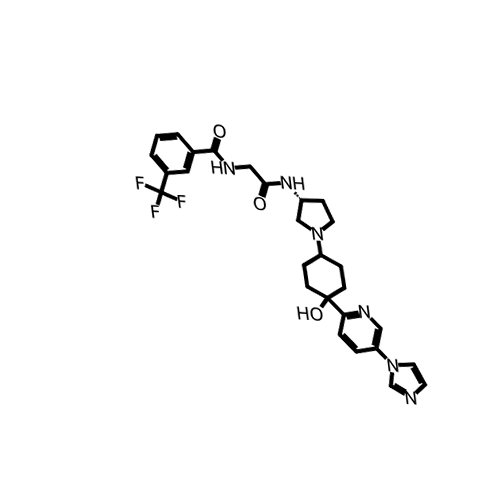 O=C(CNC(=O)c1cccc(C(F)(F)F)c1)N[C@@H]1CCN(C2CCC(O)(c3ccc(-n4ccnc4)cn3)CC2)C1